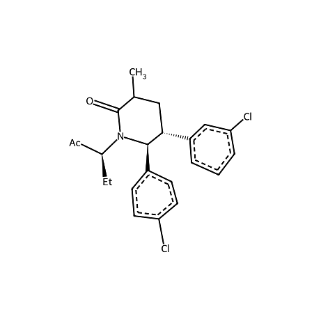 CC[C@@H](C(C)=O)N1C(=O)C(C)C[C@H](c2cccc(Cl)c2)[C@H]1c1ccc(Cl)cc1